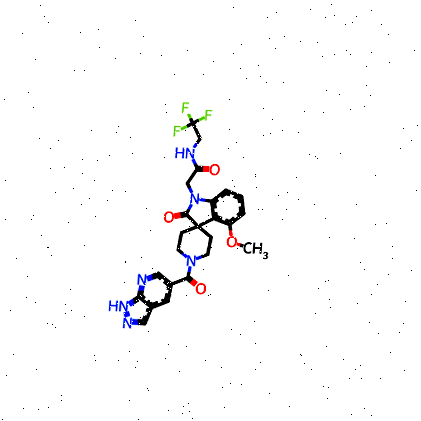 COc1cccc2c1C1(CCN(C(=O)c3cnc4[nH]ncc4c3)CC1)C(=O)N2CC(=O)NCC(F)(F)F